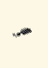 [2H]/C(=C(/C#N)C(=O)NCC1COC(C)(C)O1)c1c([2H])c([2H])c2c([2H])c(N3CCCCC3[2H])c([2H])c([2H])c2c1[2H]